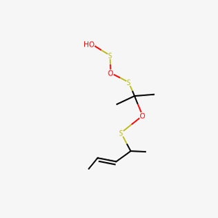 CC=CC(C)SOC(C)(C)SOSO